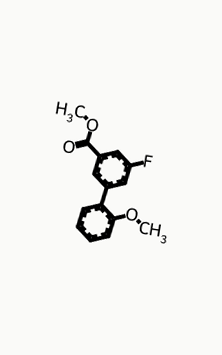 COC(=O)c1cc(F)cc(-c2ccccc2OC)c1